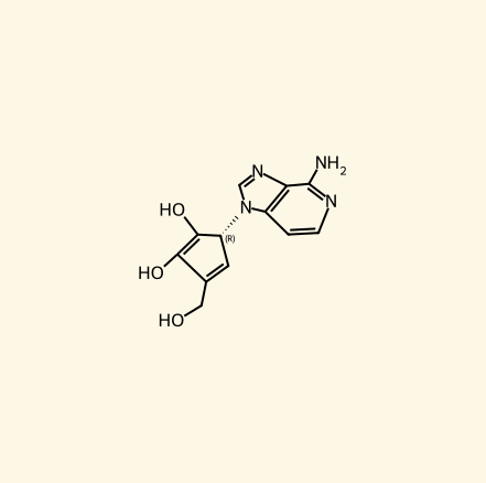 Nc1nccc2c1ncn2[C@@H]1C=C(CO)C(O)=C1O